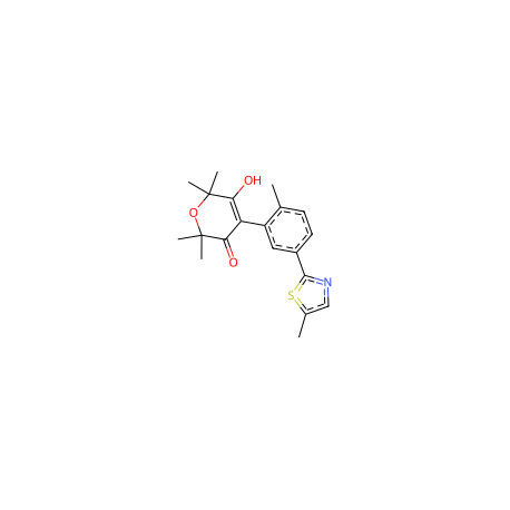 Cc1cnc(-c2ccc(C)c(C3=C(O)C(C)(C)OC(C)(C)C3=O)c2)s1